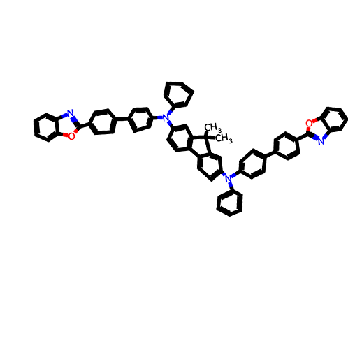 CC1(C)c2cc(N(c3ccccc3)c3ccc(-c4ccc(-c5nc6ccccc6o5)cc4)cc3)ccc2-c2ccc(N(c3ccccc3)c3ccc(-c4ccc(-c5nc6ccccc6o5)cc4)cc3)cc21